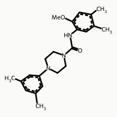 COc1cc(C)c(C)cc1NC(=O)N1CCN(c2cc(C)cc(C)c2)CC1